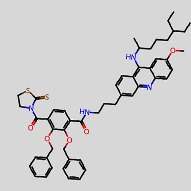 CCC(CC)CCCC(C)Nc1c2ccc(CCCNC(=O)c3ccc(C(=O)N4CCSC4=S)c(OCc4ccccc4)c3OCc3ccccc3)cc2nc2ccc(OC)cc12